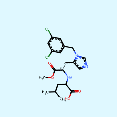 COC(=O)[C@H](Cc1cncn1Cc1cc(Cl)cc(Cl)c1)NC(CC(C)C)C(=O)O